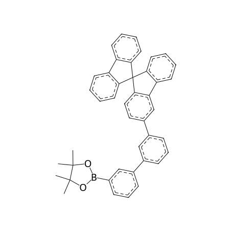 CC1(C)OB(c2cccc(-c3cccc(-c4ccc5c(c4)-c4ccccc4C54c5ccccc5-c5ccccc54)c3)c2)OC1(C)C